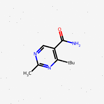 Cc1ncc(C(N)=O)c(C(C)(C)C)n1